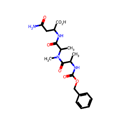 CC(NC(=O)OCc1ccccc1)C(=O)N(C)C(C)C(=O)NC(CC(N)=O)C(=O)O